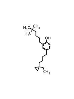 CCC1(CCCCc2ccc(O)c(CCCCC(C)(C)C)c2)CC1